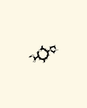 COC(=O)c1ccc(C)cc(N2CCSC2)ccc(C)c1